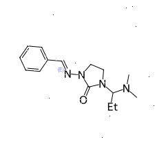 CCC(N(C)C)N1CCN(/N=C/c2ccccc2)C1=O